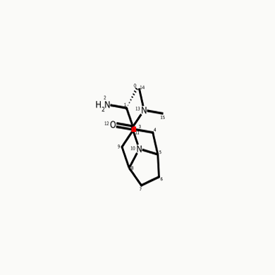 C[C@@H](N)C1CC2CCC(C1)N2C(=O)N(C)C